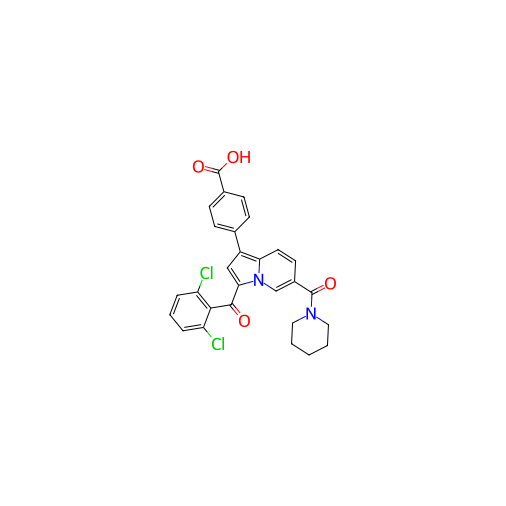 O=C(O)c1ccc(-c2cc(C(=O)c3c(Cl)cccc3Cl)n3cc(C(=O)N4CCCCC4)ccc23)cc1